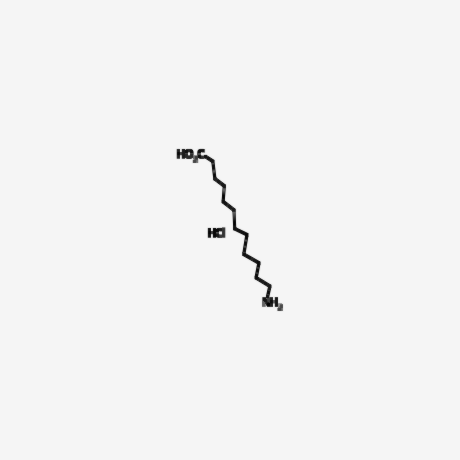 Cl.NCCCCCCCCCCCC(=O)O